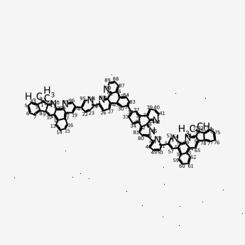 CC1(C)c2ccccc2-c2cc3c4ccccc4c4cc(-c5ccc(-c6ccc7c8cc(-c9ccc%10c(c9)c9cccnc9c9nc(-c%11cccc(-c%12cnc%13c(c%12)c%12ccccc%12c%12cc%14c(nc%12%13)C(C)(C)c%12ccccc%12-%14)n%11)ccc%109)ccc8c8cccnc8c7n6)nc5)cnc4c3nc21